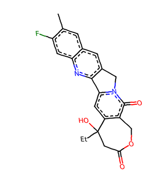 CCC1(O)CC(=O)OCc2c1cc1n(c2=O)Cc2cc3cc(C)c(F)cc3nc2-1